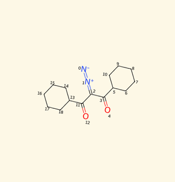 [N-]=[N+]=C(C(=O)C1CCCCC1)C(=O)C1CCCCC1